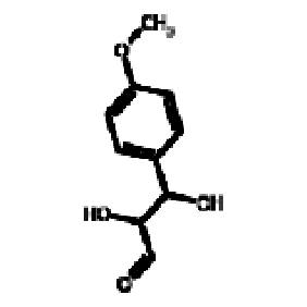 COc1ccc(C(O)C(O)C=O)cc1